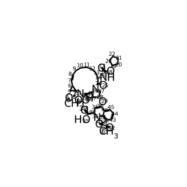 COC(=O)[C@@]12CC1/C=C\CCCCC[C@H](NC(=O)OC1CCCC1)C(=O)N1C[C@H](Oc3cc(C(=O)O)nc4c(S(C)(=O)=O)cccc34)C[C@H]1C(=O)N2